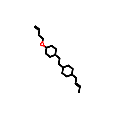 C=CCCOC1CCC(CCC2CCC(C/C=C/C)CC2)CC1